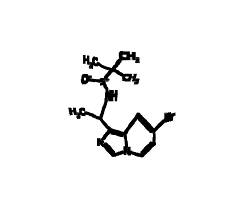 CC(N[S+]([O-])C(C)(C)C)c1ncn2ccc(Br)cc12